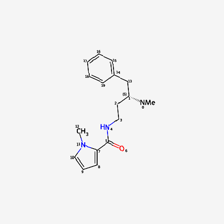 CN[C@H](CCNC(=O)c1cccn1C)Cc1ccccc1